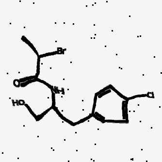 C[C@@H](Br)C(=O)N[C@H](CO)Cc1ccc(Cl)cc1